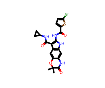 CC1(C)Oc2cc3c(C(=O)NC4CC4)c(NC(=O)c4ccc(Br)s4)[nH]c3cc2NC1=O